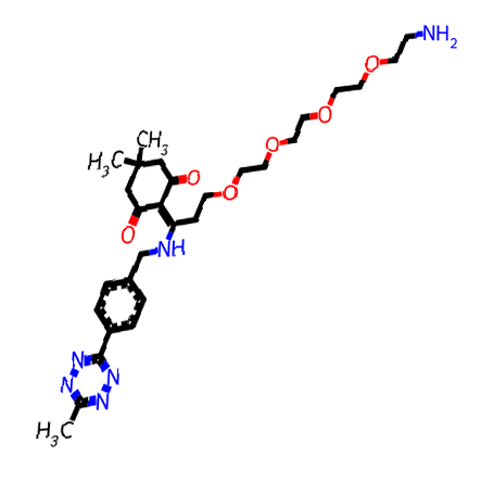 Cc1nnc(-c2ccc(CNC(CCOCCOCCOCCOCCN)=C3C(=O)CC(C)(C)CC3=O)cc2)nn1